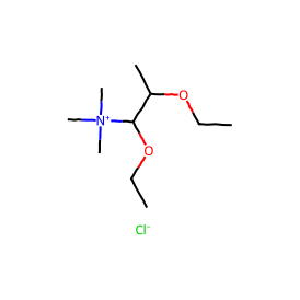 CCOC(C)C(OCC)[N+](C)(C)C.[Cl-]